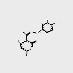 C/C(=N/Nc1ccc(C#N)c(Br)c1)c1c(O)cc(C)oc1=O